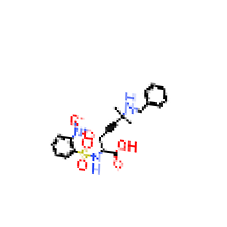 CC(C)(C#CC[C@H](NS(=O)(=O)c1ccccc1[N+](=O)[O-])C(=O)O)NCc1ccccc1